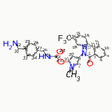 Cn1cc(NC(=O)c2ccccc2-c2ccc(C(F)(F)F)cc2)cc1OC(=O)NCc1ccc(CN)cc1